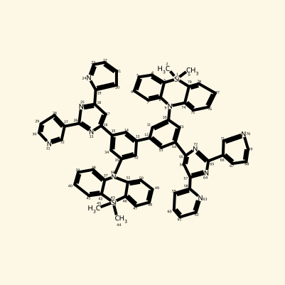 C[Si]1(C)c2ccccc2N(c2cc(-c3cc(-c4cc(-c5ccccn5)nc(-c5cccnc5)n4)cc(N4c5ccccc5[Si](C)(C)c5ccccc54)c3)cc(-c3cc(-c4ccccn4)nc(-c4cccnc4)n3)c2)c2ccccc21